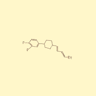 CC/C=C/C=C/C1CCC(c2ccc(F)c(F)c2)CC1